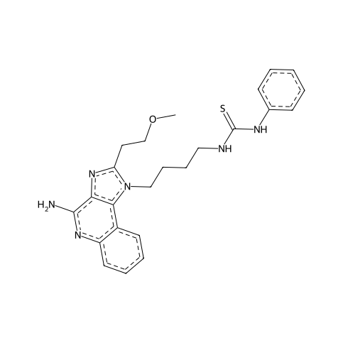 COCCc1nc2c(N)nc3ccccc3c2n1CCCCNC(=S)Nc1ccccc1